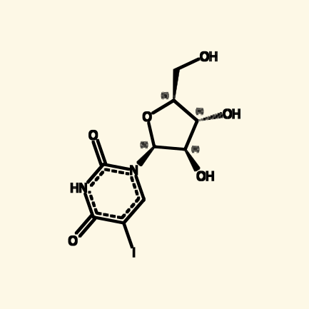 O=c1[nH]c(=O)n([C@H]2O[C@@H](CO)[C@H](O)[C@H]2O)cc1I